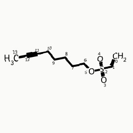 C=CS(=O)(=O)OCCCCCC#CC